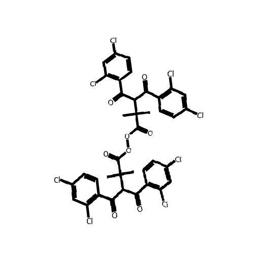 CC(C)(C(=O)OOC(=O)C(C)(C)C(C(=O)c1ccc(Cl)cc1Cl)C(=O)c1ccc(Cl)cc1Cl)C(C(=O)c1ccc(Cl)cc1Cl)C(=O)c1ccc(Cl)cc1Cl